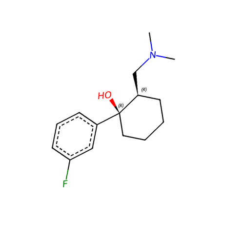 CN(C)C[C@H]1CCCC[C@]1(O)c1cccc(F)c1